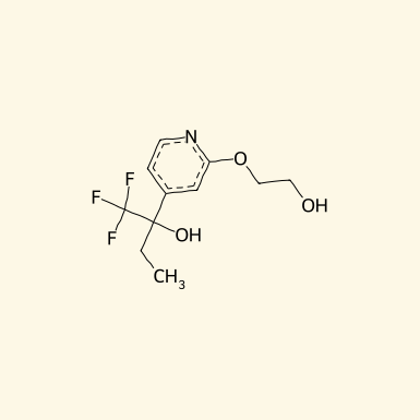 CCC(O)(c1ccnc(OCCO)c1)C(F)(F)F